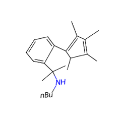 CCCCNC(C)(C)c1ccccc1C1=C(C)C(C)=C(C)C1C